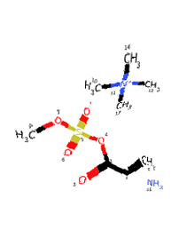 C=CC(=O)OS(=O)(=O)OC.C[N+](C)(C)C.N